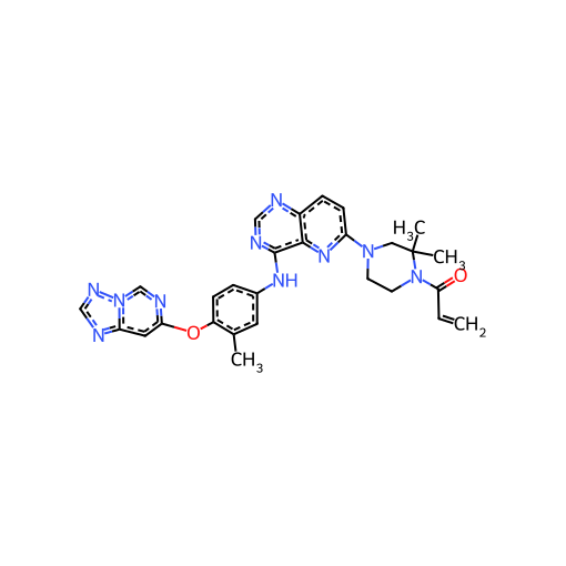 C=CC(=O)N1CCN(c2ccc3ncnc(Nc4ccc(Oc5cc6ncnn6cn5)c(C)c4)c3n2)CC1(C)C